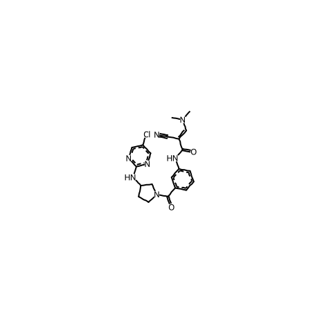 CN(C)C=C(C#N)C(=O)Nc1cccc(C(=O)N2CCC(Nc3ncc(Cl)cn3)C2)c1